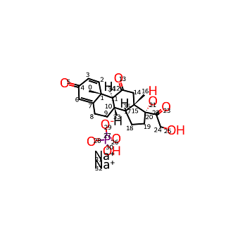 C[C@]12C=CC(=O)C=C1CC[C@@H]1[C@@H]2C(=O)C[C@@]2(C)[C@H]1CC[C@]2(O)C(=O)CO.O=P([O-])([O-])O.[Na+].[Na+]